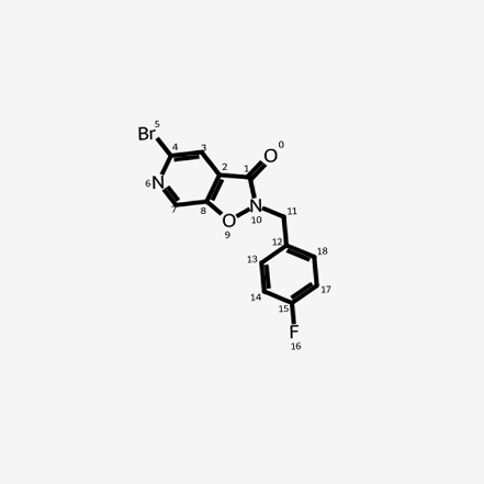 O=c1c2cc(Br)ncc2on1Cc1ccc(F)cc1